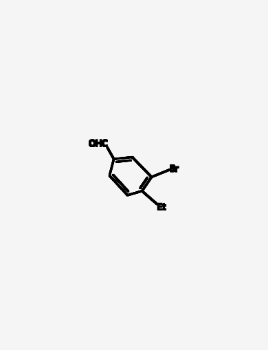 CCc1ccc(C=O)cc1Br